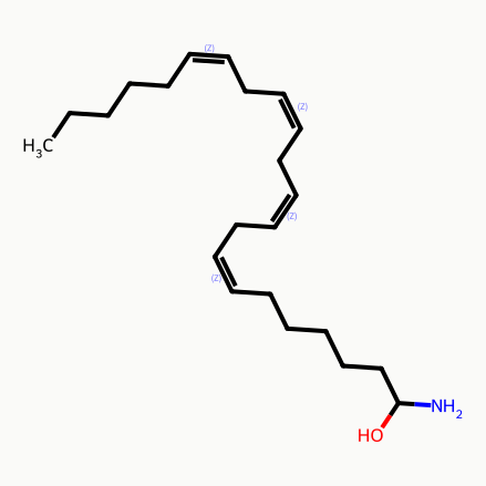 CCCCC/C=C\C/C=C\C/C=C\C/C=C\CCCCCC(N)O